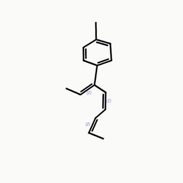 C\C=C/C=C\C(=C\C)c1ccc(C)cc1